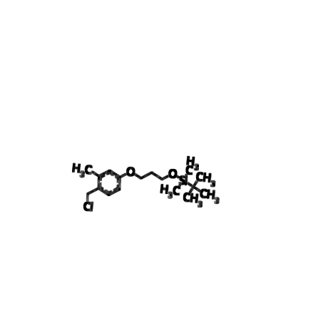 Cc1cc(OCCCO[Si](C)(C)C(C)(C)C)ccc1CCl